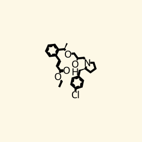 CCOC(=O)/C=C/c1ccccc1[C@@H](C)OC[C@H](O)CN1CCC[C@H]1Cc1ccc(Cl)cc1